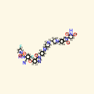 N#Cc1c(NS(=O)(=O)N2CC[C@@H](F)C2)ccc(F)c1Oc1ccc2ncn(-c3ccc(N4CC5(CCN(CC6CCN(c7ccc8c(c7)CN([C@H]7CCC(=O)NC7=O)C8=O)CC6)CC5)C4)cc3)c(=O)c2c1